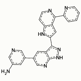 Nc1cncc(-c2cnc3[nH]nc(-c4cc5c(-c6ccccn6)nccc5[nH]4)c3c2)c1